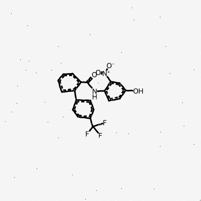 O=C(Nc1ccc(O)cc1[N+](=O)[O-])c1ccccc1-c1ccc(C(F)(F)F)cc1